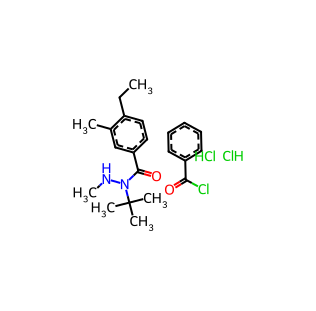 CCc1ccc(C(=O)N(NC)C(C)(C)C)cc1C.Cl.Cl.O=C(Cl)c1ccccc1